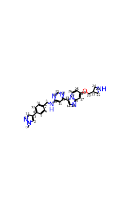 Cn1cc(-c2ccc(CNc3cc(-c4cnc5cc(OCC6CNC6)ccn45)ncn3)cc2)cn1